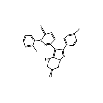 Cc1ccccc1-n1nc(-c2c(-c3ccc(F)cc3)nn3c2NCC(=O)C3)ccc1=O